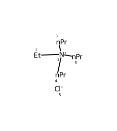 CCC[N+](CC)(CCC)CCC.[Cl-]